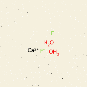 O.O.[Ca+2].[F-].[F-]